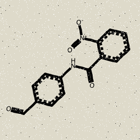 O=Cc1ccc(NC(=O)c2ccccc2[N+](=O)[O-])cc1